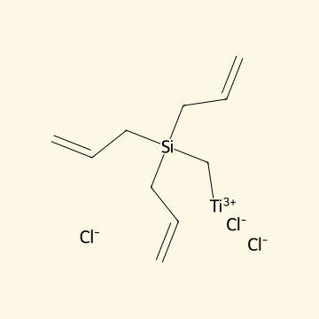 C=CC[Si]([CH2][Ti+3])(CC=C)CC=C.[Cl-].[Cl-].[Cl-]